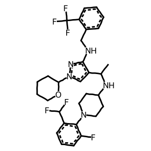 CC(NC1CCN(c2c(F)cccc2C(F)F)CC1)c1cn(C2CCCCO2)nc1NCc1ccccc1C(F)(F)F